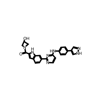 O=C(c1cc2ccc(-c3nccc(Nc4ccc(-c5cn[nH]c5)cc4)n3)cc2[nH]1)N1CC(O)C1